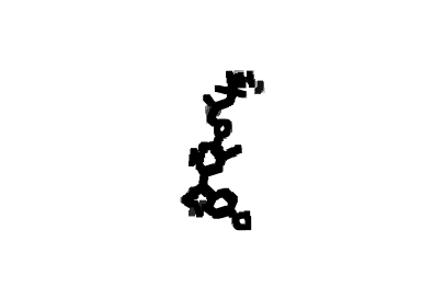 Cc1cc(-c2ccnc3cc(Cl)ccc23)ncc1OC[C@@H](C)CC(C)(C)N